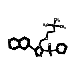 C[Si](C)(C)CCOCn1c(-c2ccc3cnccc3c2)cnc1S(=O)(=O)c1ccccc1